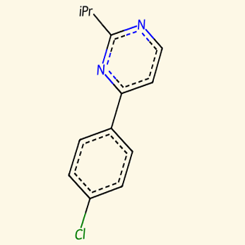 CC(C)c1nccc(-c2ccc(Cl)cc2)n1